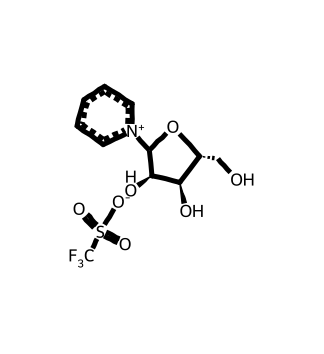 O=S(=O)([O-])C(F)(F)F.OC[C@H]1OC([n+]2ccccc2)[C@H](O)[C@@H]1O